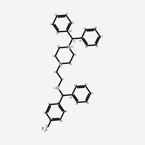 FC(F)(F)c1ccc(C(OCCN2CCN(C(c3ccccc3)c3ccccc3)CC2)c2ccccc2)cc1